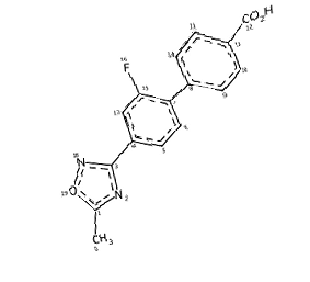 Cc1nc(-c2ccc(-c3ccc(C(=O)O)cc3)c(F)c2)no1